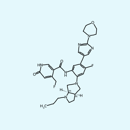 CCCN1CC[C@@H]2CN(c3cc(F)c(-c4cnc(N5CCOCC5)nc4)cc3NC(=O)c3c[nH]c(=O)cc3CF)C[C@@H]21